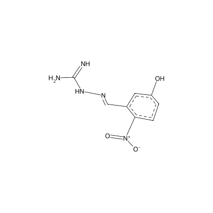 N=C(N)NN=Cc1cc(O)ccc1[N+](=O)[O-]